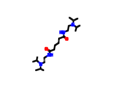 CC(C)N(CCNC(=O)CCCCC(=O)NCCN(C(C)C)C(C)C)C(C)C